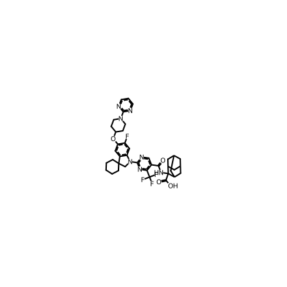 O=C(NC1(C(=O)O)C2CC3CC(C2)CC1C3)c1cnc(N2CC3(CCCCC3)c3cc(OC4CCN(c5ncccn5)CC4)c(F)cc32)nc1C(F)(F)F